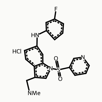 CNCc1cn(S(=O)(=O)c2cccnc2)c2cc(Nc3cccc(F)c3)ccc12.Cl